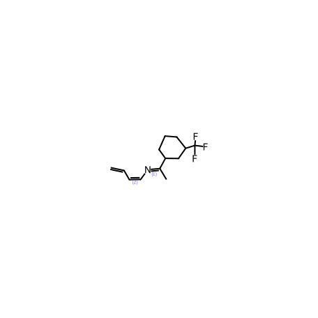 C=C/C=C\N=C(/C)C1CCCC(C(F)(F)F)C1